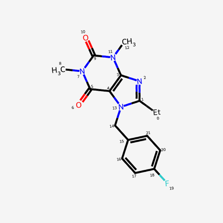 CCc1nc2c(c(=O)n(C)c(=O)n2C)n1Cc1ccc(F)cc1